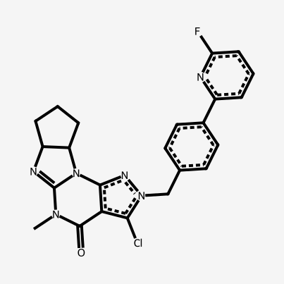 CN1C(=O)c2c(nn(Cc3ccc(-c4cccc(F)n4)cc3)c2Cl)N2C1=NC1CCCC12